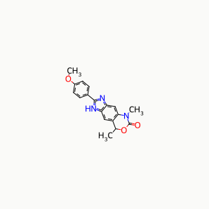 COc1ccc(-c2nc3cc4c(cc3[nH]2)C(C)OC(=O)N4C)cc1